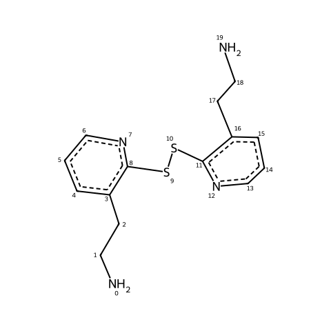 NCCc1cccnc1SSc1ncccc1CCN